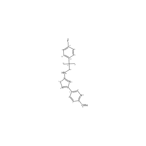 COc1ccc(-c2nsc(NCC(C)(C)c3ccc(F)cc3)n2)cn1